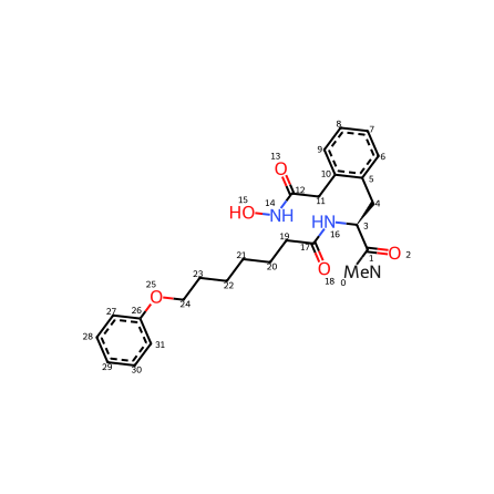 CNC(=O)[C@H](Cc1ccccc1CC(=O)NO)NC(=O)CCCCCCOc1ccccc1